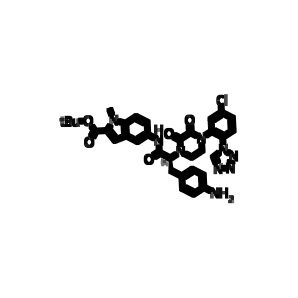 Cn1c(C(=O)OC(C)(C)C)cc2cc(NC(=O)[C@H](Cc3ccc(N)cc3)N3CCN(c4cc(Cl)ccc4-n4cnnn4)C(=O)C3=O)ccc21